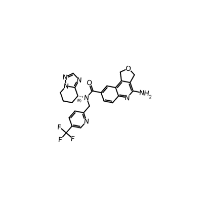 Nc1nc2ccc(C(=O)N(Cc3ccc(C(F)(F)F)cn3)[C@@H]3CCCn4ncnc43)cc2c2c1COC2